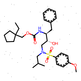 CCC1(COC(=O)N[C@@H](Cc2ccccc2)[C@H](O)CN(CC(C)C)S(=O)(=O)c2ccc(OC)cc2)CCCC1